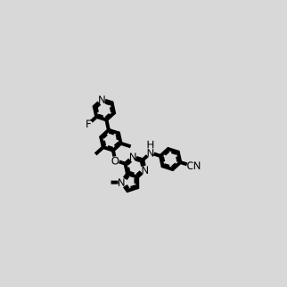 Cc1cc(-c2ccncc2F)cc(C)c1Oc1nc(Nc2ccc(C#N)cc2)nc2ccn(C)c12